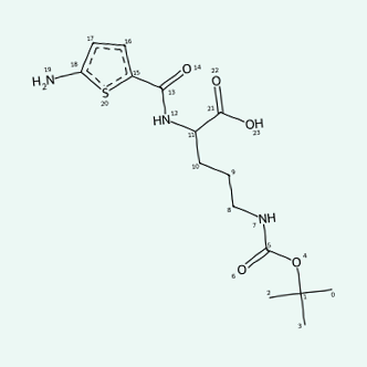 CC(C)(C)OC(=O)NCCCC(NC(=O)c1ccc(N)s1)C(=O)O